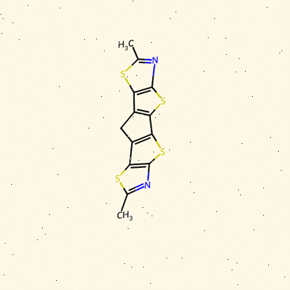 Cc1nc2sc3c(c2s1)Cc1c-3sc2nc(C)sc12